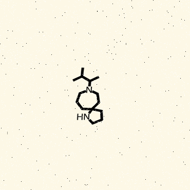 CC(C)C(C)N1CCCC2(CCCN2)CC1